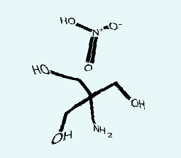 NC(CO)(CO)CO.O=[N+]([O-])O